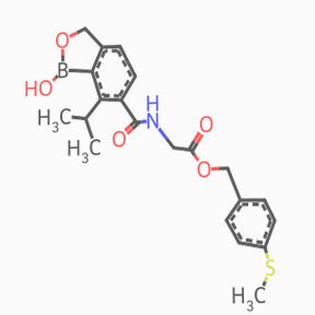 CSc1ccc(COC(=O)CNC(=O)c2ccc3c(c2C(C)C)B(O)OC3)cc1